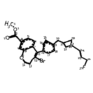 COC(=O)c1ccc2c(c1)OCCC(Br)=C2c1ccc(CC2CN(CCCF)C2)cc1